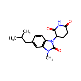 CC(C)Cc1ccc2c(c1)n(C)c(=O)n2C1CCC(=O)NC1=O